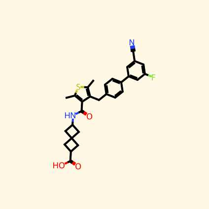 Cc1sc(C)c(C(=O)NC2CC3(C2)CC(C(=O)O)C3)c1Cc1ccc(-c2cc(F)cc(C#N)c2)cc1